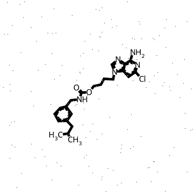 CC(C)Cc1cccc(CNC(=O)OCCCCn2cnc3c(N)nc(Cl)cc32)c1